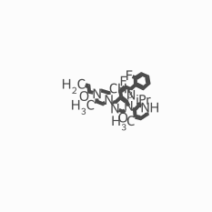 C=CC(=O)N1C[C@H](C)N(c2nc(=O)n(C3C(C)=CCNC3C(C)C)c3nc(-c4ccccc4F)c(F)cc23)C[C@H]1C